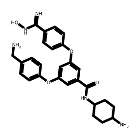 N=C(NO)c1ccc(Oc2cc(Oc3ccc(CN)cc3)cc(C(=O)NC3CCC(N)CC3)c2)cc1